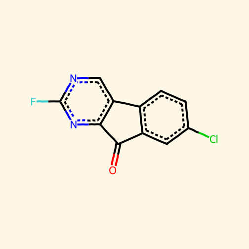 O=C1c2cc(Cl)ccc2-c2cnc(F)nc21